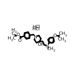 CC(C)OC(=O)c1ccc(CN2CCC(O)(CCN(C)c3ccc(OC(C)C)cc3)CC2)cc1.Cl.Cl